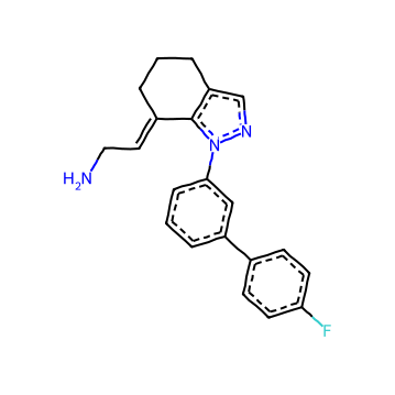 NC/C=C1\CCCc2cnn(-c3cccc(-c4ccc(F)cc4)c3)c21